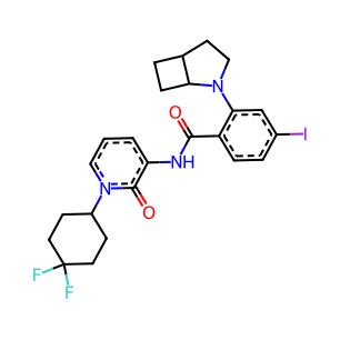 O=C(Nc1cccn(C2CCC(F)(F)CC2)c1=O)c1ccc(I)cc1N1CCC2CCC21